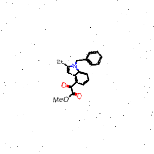 CCc1cc2c(C(=O)C(=O)OC)cccc2n1Cc1ccccc1